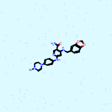 CC(=O)N1CCN(c2ccc(Nc3cc(NCc4ccc5c(c4)OCO5)c(C(N)=O)cn3)cc2)CC1